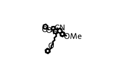 COc1ccc2c(c1)CCC1(C#N)C2=C(CCCCCOCc2ccccc2)C[C@]2(C)[C@@H](OC3CCCCO3)CC[C@@H]12